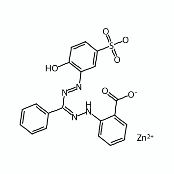 O=C([O-])c1ccccc1NN=C(N=Nc1cc(S(=O)(=O)[O-])ccc1O)c1ccccc1.[Zn+2]